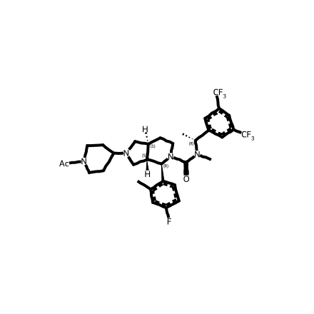 CC(=O)N1CCC(N2C[C@H]3CCN(C(=O)N(C)[C@H](C)c4cc(C(F)(F)F)cc(C(F)(F)F)c4)[C@@H](c4ccc(F)cc4C)[C@@H]3C2)CC1